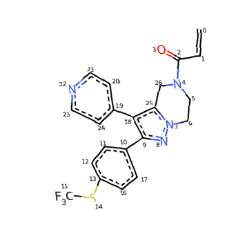 C=CC(=O)N1CCn2nc(-c3ccc(SC(F)(F)F)cc3)c(-c3ccncc3)c2C1